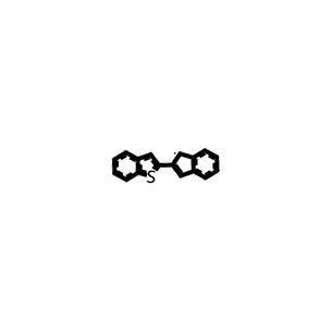 [CH]1C(c2cc3ccccc3s2)=Cc2ccccc21